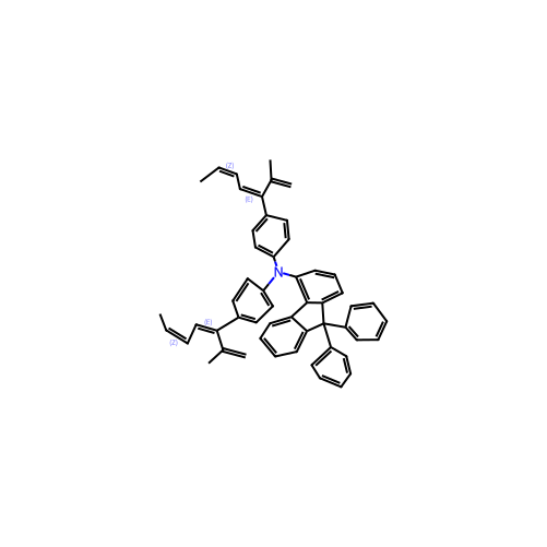 C=C(C)/C(=C\C=C/C)c1ccc(N(c2ccc(/C(=C/C=C\C)C(=C)C)cc2)c2cccc3c2-c2ccccc2C3(c2ccccc2)c2ccccc2)cc1